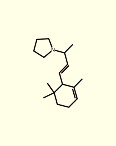 CC1=CCCC(C)(C)C1C=CC(C)N1CCCC1